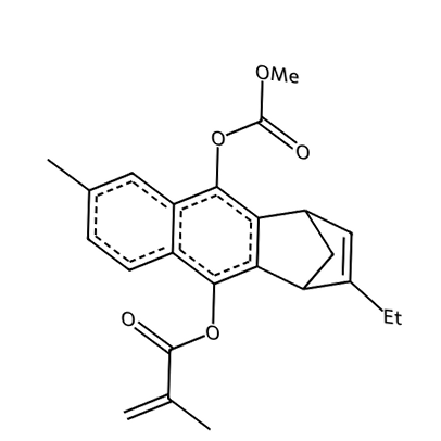 C=C(C)C(=O)Oc1c2c(c(OC(=O)OC)c3cc(C)ccc13)C1C=C(CC)C2C1